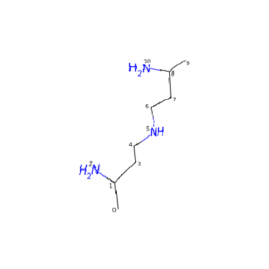 CC(N)CCNCCC(C)N